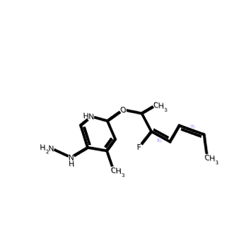 C/C=C\C=C(\F)C(C)OC1C=C(C)C(NN)=CN1